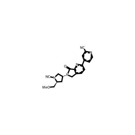 COC[C@@H]1C[C@@H](N2Cc3ccc(-c4ccnc(C#N)c4)nc3C2=O)CN1C#N